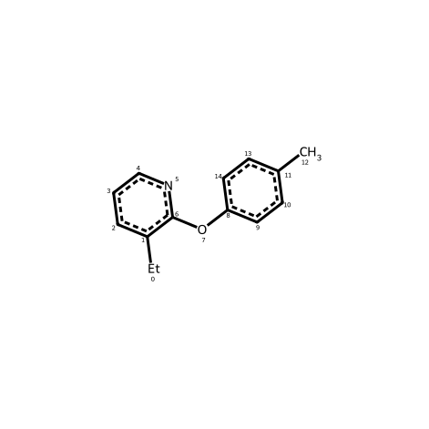 CCc1cccnc1Oc1ccc(C)cc1